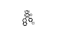 O=c1c2ncsc2nc(C2CCc3ccccc3C2)n1-c1ccc(Cl)cc1